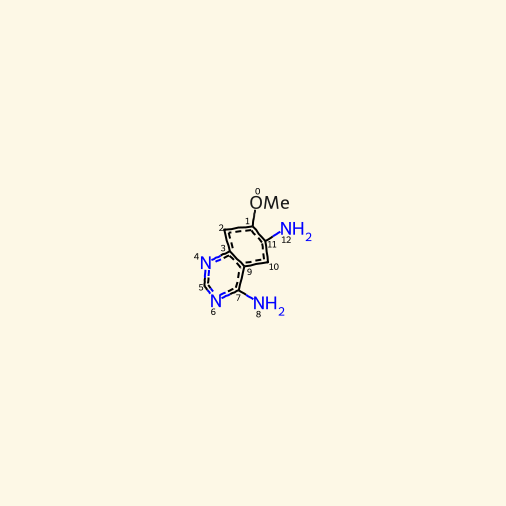 COc1cc2ncnc(N)c2cc1N